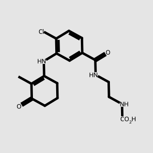 CC1=C(Nc2cc(C(=O)NCCNC(=O)O)ccc2Cl)CCCC1=O